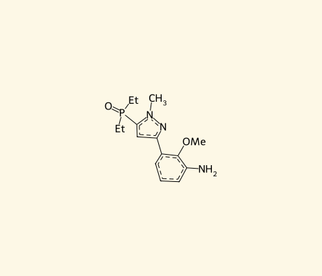 CCP(=O)(CC)c1cc(-c2cccc(N)c2OC)nn1C